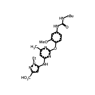 CCCCNC(=O)Nc1ccc(Oc2nc(C)cc(Nc3cc(C(=O)O)nn3CC)n2)c(OC)c1